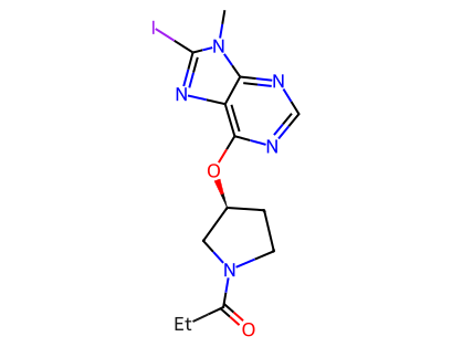 CCC(=O)N1CC[C@H](Oc2ncnc3c2nc(I)n3C)C1